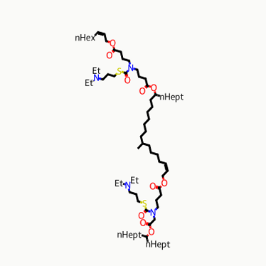 CCCCCC/C=C\COC(=O)CCCN(CCCC(=O)OC(CCCCCCC)CCCCCCCC(C)CCCC/C=C\COC(=O)CCCN(CC(=O)OC(CCCCCCC)CCCCCCC)C(=O)SCCCN(CC)CC)C(=O)SCCCN(CC)CC